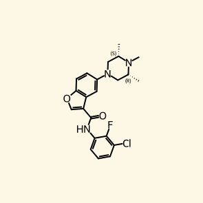 C[C@@H]1CN(c2ccc3occ(C(=O)Nc4cccc(Cl)c4F)c3c2)C[C@H](C)N1C